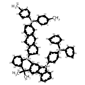 Cc1ccc(N(c2ccc(C)cc2)c2ccc3cc4cc(N5c6ccccc6C(C)(C)c6cc7c8ccccc8n(-c8ccc(N(c9ccccc9)c9ccccc9)cc8)c7cc65)ccc4cc3c2)cc1